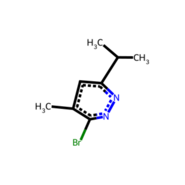 Cc1cc(C(C)C)nnc1Br